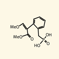 COC=C(C(=O)OC)c1ccccc1CP(=O)(O)O